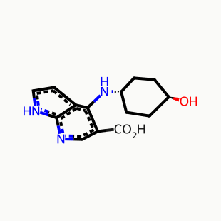 O=C(O)c1cnc2[nH]ccc2c1N[C@H]1CC[C@H](O)CC1